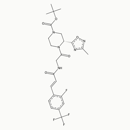 Cc1noc([C@H]2CN(C(=O)OC(C)(C)C)CCN2C(=O)CNC(=O)/C=C/c2ccc(C(F)(F)F)cc2F)n1